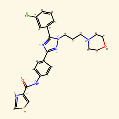 O=C(Nc1ccc(-c2nc(-c3cccc(Cl)c3)n(CCCN3CCOCC3)n2)cc1)c1cscn1